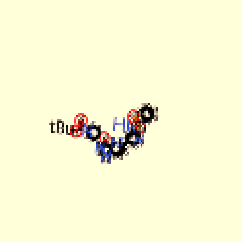 CC(C)(C)OC(=O)N1CCC(Oc2ncnc3ccc(-c4cncc(NS(=O)(=O)c5ccccc5)c4)nc23)CC1